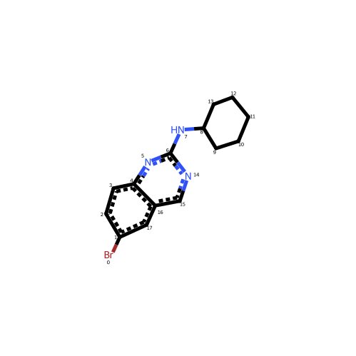 Brc1ccc2nc(NC3CCCCC3)ncc2c1